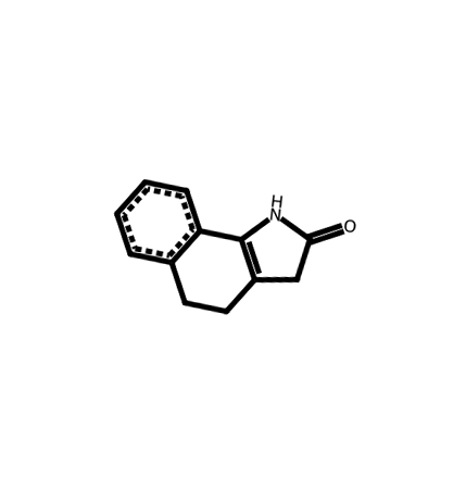 O=C1CC2=C(N1)c1ccccc1CC2